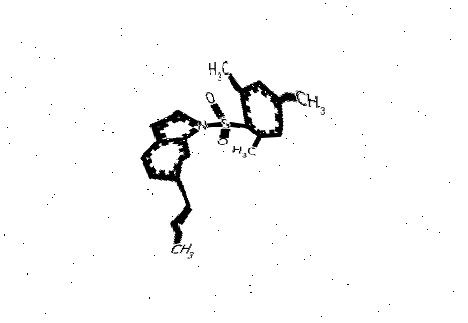 CC=Cc1ccc2ccn(S(=O)(=O)c3c(C)cc(C)cc3C)c2c1